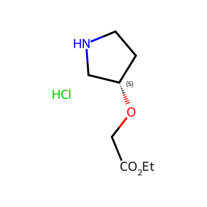 CCOC(=O)CO[C@H]1CCNC1.Cl